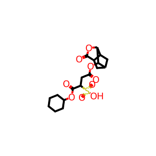 O=C(CC(C(=O)OC1CCCCC1)S(=O)(=O)O)OC1C2CC3C(=O)OC1C3C2